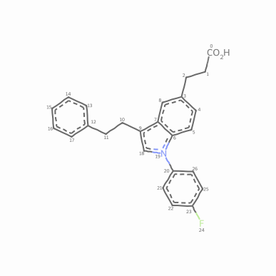 O=C(O)CCc1ccc2c(c1)c(CCc1ccccc1)cn2-c1ccc(F)cc1